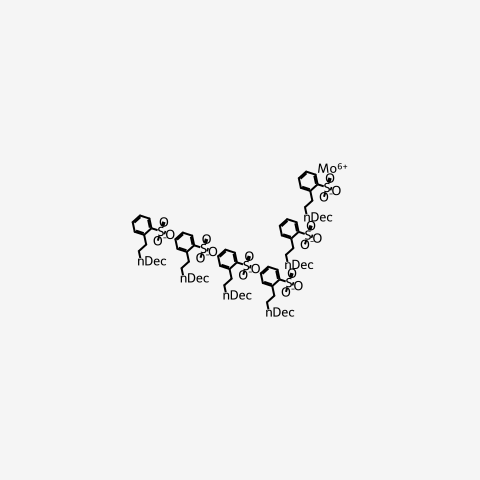 CCCCCCCCCCCCc1ccccc1S(=O)(=O)[O-].CCCCCCCCCCCCc1ccccc1S(=O)(=O)[O-].CCCCCCCCCCCCc1ccccc1S(=O)(=O)[O-].CCCCCCCCCCCCc1ccccc1S(=O)(=O)[O-].CCCCCCCCCCCCc1ccccc1S(=O)(=O)[O-].CCCCCCCCCCCCc1ccccc1S(=O)(=O)[O-].[Mo+6]